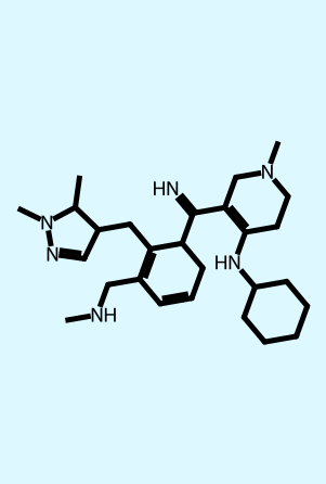 CNCC1=C(CC2C=NN(C)C2C)C(C(=N)C2=C(NC3CCCCC3)CCN(C)C2)CC=C1